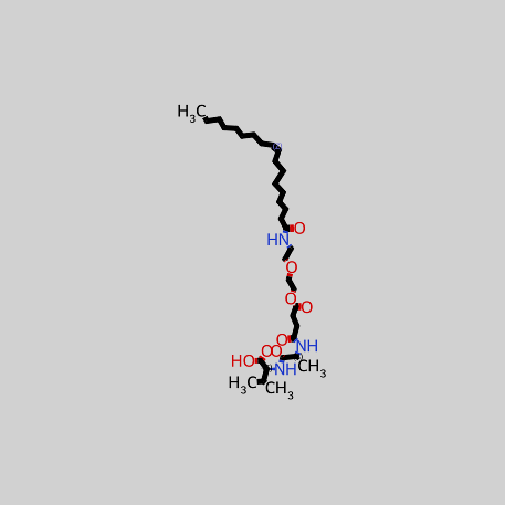 CCCCCCCC/C=C\CCCCCCCC(=O)NCCOCCOC(=O)CCC(=O)N[C@@H](C)C(=O)N[C@H](C(=O)O)C(C)C